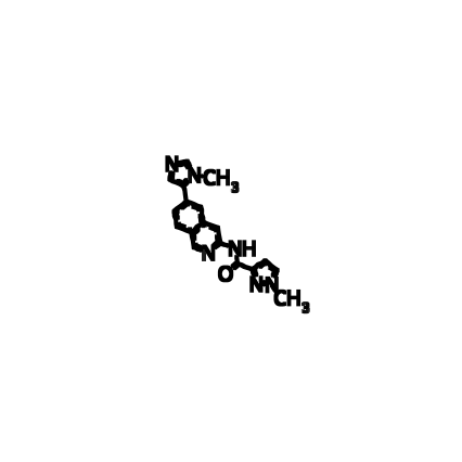 Cn1ccc(C(=O)Nc2cc3cc(-c4cncn4C)ccc3cn2)n1